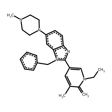 C=C1C(C)=CC(c2nc3ccc(N4CCN(C)CC4)cc3n2Cc2ccccc2)=CN1CC